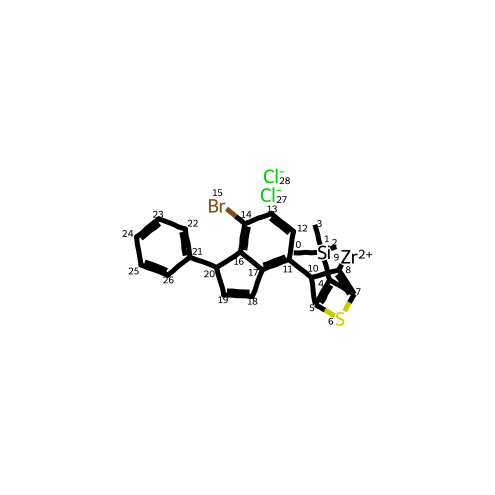 C[Si](C)(C)C1=C2SC1=[C]([Zr+2])C2c1ccc(Br)c2c1C=CC2c1ccccc1.[Cl-].[Cl-]